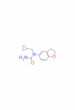 NC(=O)N(CC1CC1)c1ccc2c(c1)CCO2